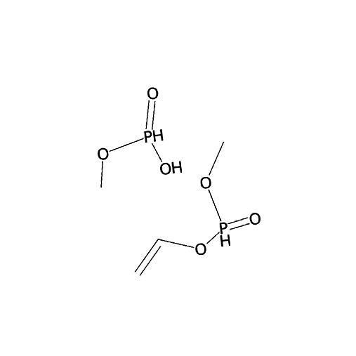 C=CO[PH](=O)OC.CO[PH](=O)O